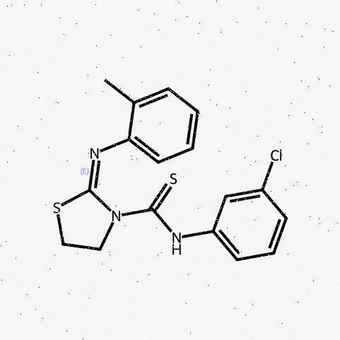 Cc1ccccc1/N=C1/SCCN1C(=S)Nc1cccc(Cl)c1